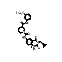 CCOC(=O)c1cccc(NC(=O)C2CCCN(C(=O)NC3=CC[C@H]4C(=C3)C(=O)N(CC3CC3)C(=O)N4C(C)C)C2)c1